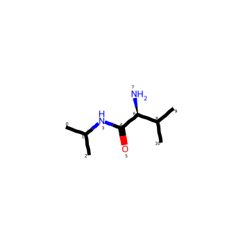 CC(C)NC(=O)[C@@H](N)C(C)C